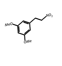 COc1cc(CC[N+](=O)[O-])cc(OC)c1